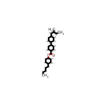 CCCCCC1CCC(OC(=O)C2CCC(C3CCC(CC(C)CC)CC3)CC2)CC1